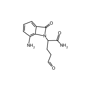 NC(=O)C(CCC=O)N1C(=O)c2cccc(N)c21